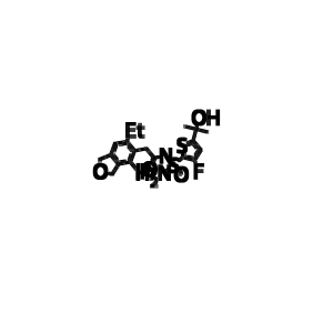 CCc1cc2c(c(C(C)C)c1CC(=O)N=S(N)(=O)c1sc(C(C)(C)O)cc1F)COC2